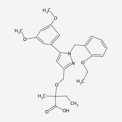 CCOc1ccccc1Cn1nc(COC(C)(CC)C(=O)O)cc1-c1cc(OC)cc(OC)c1